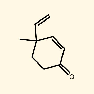 C=CC1(C)C=CC(=O)CC1